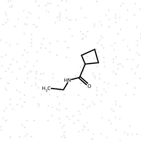 CCNC(=O)C1C[CH]C1